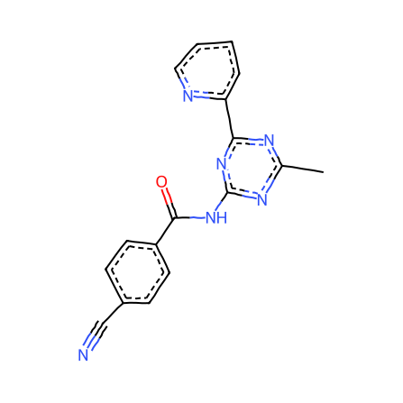 Cc1nc(NC(=O)c2ccc(C#N)cc2)nc(-c2ccccn2)n1